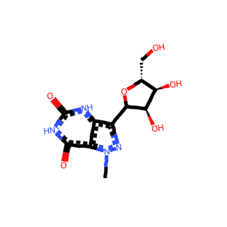 Cn1nc(C2O[C@H](CO)[C@@H](O)[C@H]2O)c2[nH]c(=O)[nH]c(=O)c21